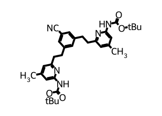 Cc1cc(CCc2cc(C#N)cc(CCc3cc(C)cc(NC(=O)OC(C)(C)C)n3)c2)nc(NC(=O)OC(C)(C)C)c1